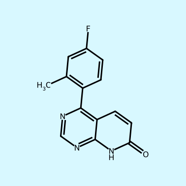 Cc1cc(F)ccc1-c1ncnc2[nH]c(=O)ccc12